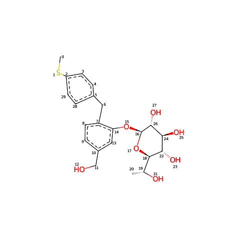 CSc1ccc(Cc2ccc(CO)cc2O[C@@H]2O[C@H]([C@@H](C)O)[C@@H](O)[C@H](O)[C@H]2O)cc1